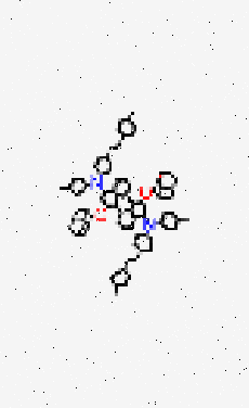 Cc1ccc(C=Cc2ccc(N(c3ccc(C)cc3)c3cc(OC4C5CC6CC(C5)CC4C6)c4c5cccc6c(N(c7ccc(C)cc7)c7ccc(C=Cc8ccc(C)cc8)cc7)cc(OC7C8CC9CC(C8)CC7C9)c(c7cccc3c74)c65)cc2)cc1